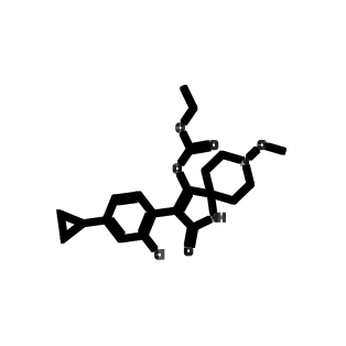 CCOC(=O)OC1=C(c2ccc(C3CC3)cc2Cl)C(=O)NC12CCN(OC)CC2